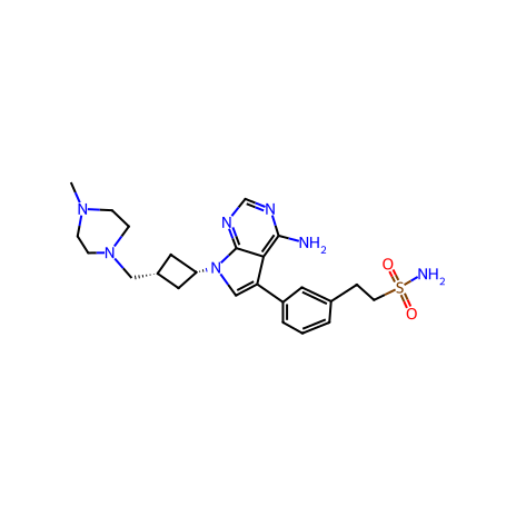 CN1CCN(C[C@H]2C[C@@H](n3cc(-c4cccc(CCS(N)(=O)=O)c4)c4c(N)ncnc43)C2)CC1